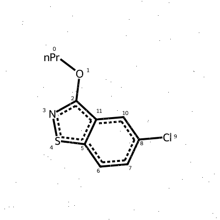 CCCOc1nsc2ccc(Cl)cc12